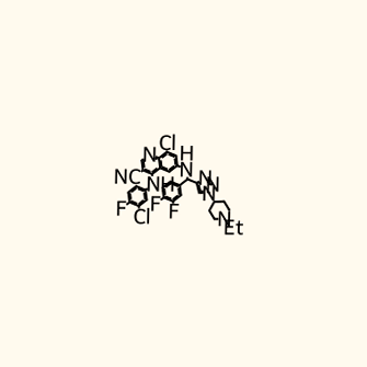 CCN1CCC(n2cc(C(Nc3cc(Cl)c4ncc(C#N)c(Nc5ccc(F)c(Cl)c5)c4c3)c3ccc(F)c(F)c3)nn2)CC1